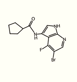 O=C(Nc1c[nH]c2ncc(Br)c(F)c12)C1CCCC1